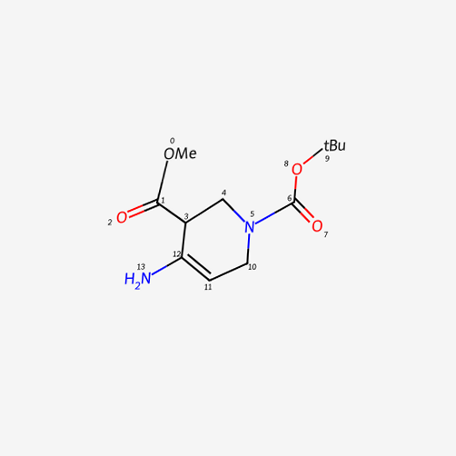 COC(=O)C1CN(C(=O)OC(C)(C)C)CC=C1N